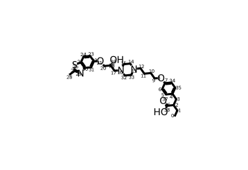 CCC(Cc1ccc(OCCCCN2CCN(C[C@@H](O)COc3ccc4sc(C)nc4c3)CC2)cc1)C(=O)O